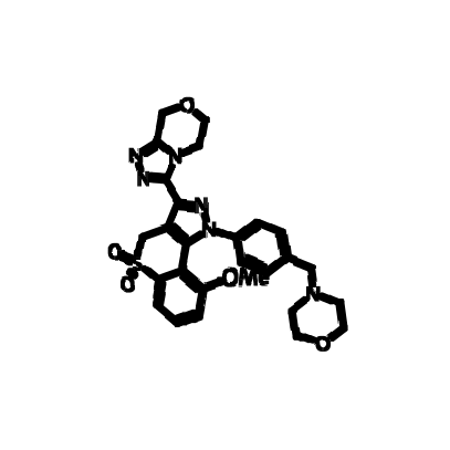 COc1cccc2c1-c1c(c(-c3nnc4n3CCOC4)nn1-c1ccc(CN3CCOCC3)cc1)CS2(=O)=O